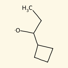 CCC([O])C1CCC1